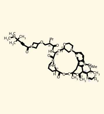 C=C/C(=C(\N=C/C)[C@H](C)OC)c1c2c3cc(ccc3n1CC)N1CCO[C@@H](C[C@H](NC(=O)[C@@H](COC3CN(C(=O)C#CC(C)(C)N(C)C)C3)C(C)C)C(=O)N3CCC[C@H](N3)C(=O)OCC(C)(C)C2)C1